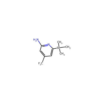 [CH3][Sn]([CH3])([CH3])[c]1cc(C(F)(F)F)cc(N)n1